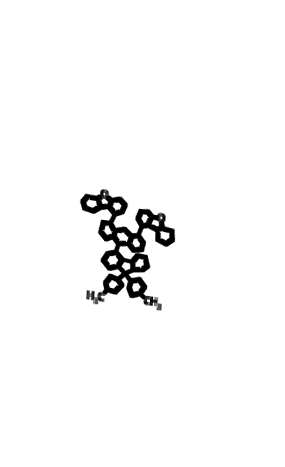 Cc1ccc(C2(c3ccc(C)cc3)c3ccccc3-c3c(-c4c5cccc(-c6cccc7oc8ccccc8c67)c5cc5c(-c6cccc7oc8ccccc8c67)cccc45)cccc32)cc1